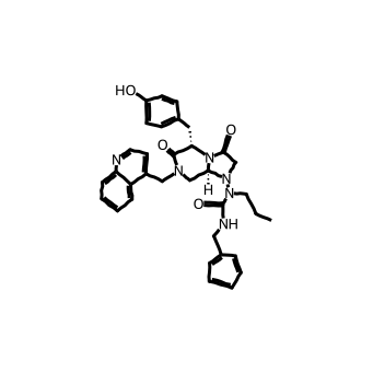 CCCN(C(=O)NCc1ccccc1)N1CC(=O)N2[C@@H](Cc3ccc(O)cc3)C(=O)N(Cc3ccnc4ccccc34)C[C@@H]21